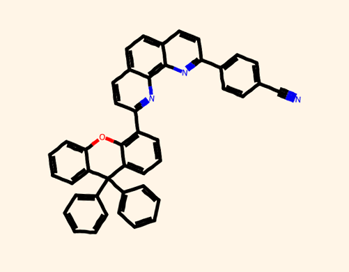 N#Cc1ccc(-c2ccc3ccc4ccc(-c5cccc6c5Oc5ccccc5C6(c5ccccc5)c5ccccc5)nc4c3n2)cc1